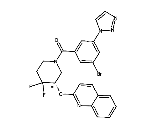 O=C(c1cc(Br)cc(-n2ccnn2)c1)N1CCC(F)(F)[C@@H](Oc2ccc3ccccc3n2)C1